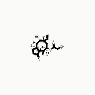 C=C[C@]1(C)C[C@@H](OC(=O)CO)[C@](C)(CC)[C@@H]2C(=O)CC[C@@]2(CC)[C@@H](C)[C@@H]1O